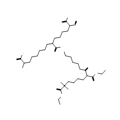 CC(CCCCCCC(CCCCC(C=O)C(=O)O)C(=O)O)C(=O)O.CCOC(=O)C(CCCCC(C)(C)C(=O)OCC)C(=O)CCCCCI